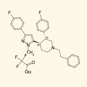 Cn1nc(-c2ccc(F)cc2)cc1[C@@H]1CCN(CCc2ccccc2)C[C@H]1c1ccc(F)cc1.O=C(O)C(F)(F)F